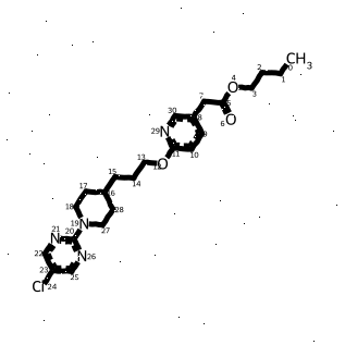 CCCCOC(=O)Cc1ccc(OCCCC2CCN(c3ncc(Cl)cn3)CC2)nc1